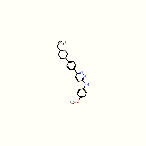 O=C(O)CC1CCC(c2ccc(-c3ccc(Nc4ccc(OC(F)(F)F)cc4)nn3)cc2)CC1